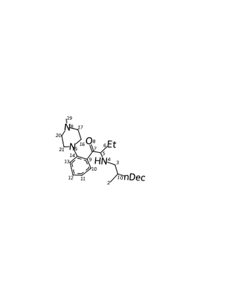 CCCCCCCCCCC(C)CNC(CC)C(=O)c1ccccc1N1CCN(C)CC1